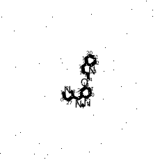 c1cncc(-c2ncnc3ccc(OCc4ccc5ccccc5n4)cc23)c1